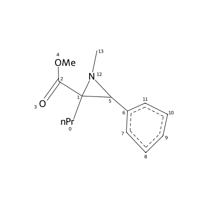 CCCC1(C(=O)OC)C(c2ccccc2)N1C